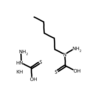 CCCCCN(N)C(O)=S.NNC(O)=S.[KH]